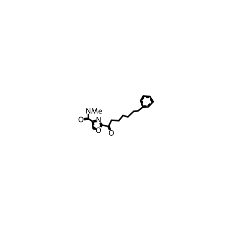 CNC(=O)c1coc(C(=O)CCCCCCc2ccccc2)n1